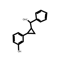 O=CC(c1ccccc1)C1CC1c1cccc(O)c1